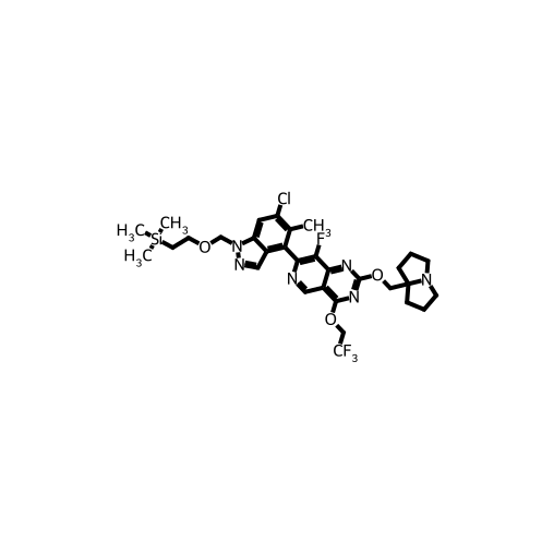 Cc1c(Cl)cc2c(cnn2COCC[Si](C)(C)C)c1-c1ncc2c(OCC(F)(F)F)nc(OCC34CCCN3CCC4)nc2c1F